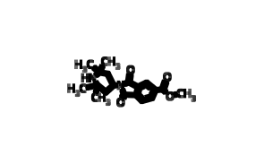 COC(=O)c1ccc2c(c1)C(=O)N(C1CC(C)(C)NC(C)(C)C1)C2=O